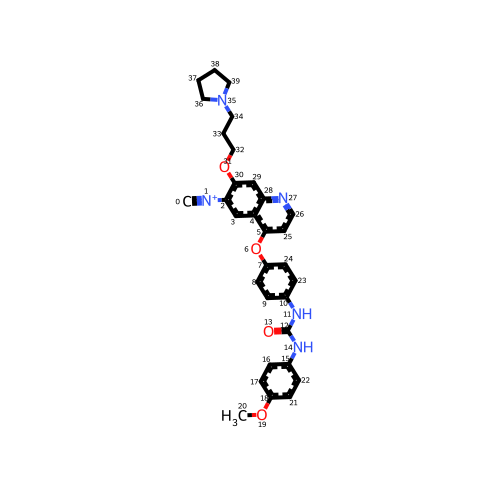 [C-]#[N+]c1cc2c(Oc3ccc(NC(=O)Nc4ccc(OC)cc4)cc3)ccnc2cc1OCCCN1CCCC1